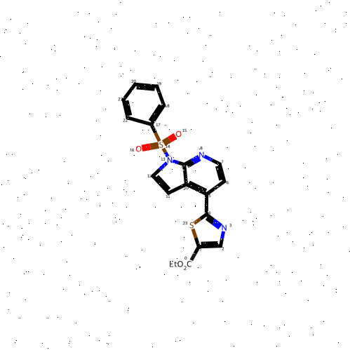 CCOC(=O)c1cnc(-c2ccnc3c2ccn3S(=O)(=O)c2ccccc2)s1